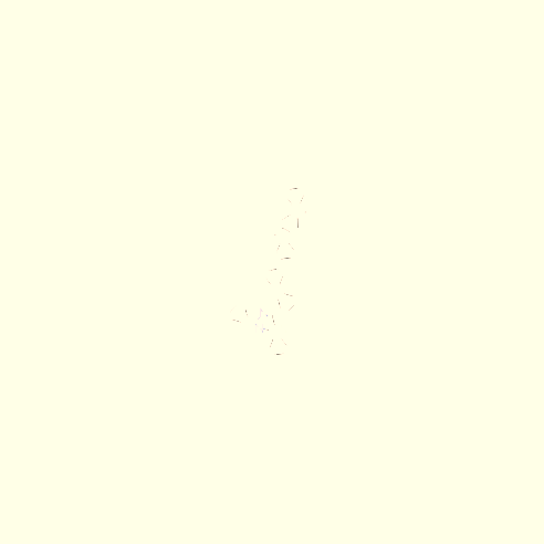 CC1(C)c2ccccc2-c2cc3c(cc21)-c1ccc(-c2ccc4sc5c(-c6nc(-c7ccccc7)nc7c6sc6ccccc67)cccc5c4c2)cc1C3(C)C